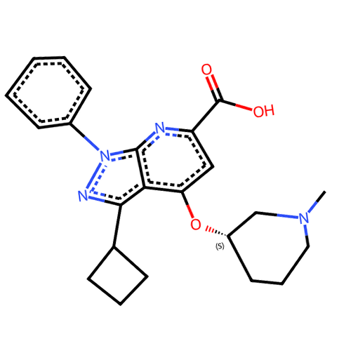 CN1CCC[C@H](Oc2cc(C(=O)O)nc3c2c(C2CCC2)nn3-c2ccccc2)C1